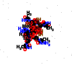 CC[C@H]1O[C@@H](n2cc(C)c(=O)[nH]c2=O)C[C@H]1OP(=O)(S)OC[C@H]1O[C@@H](n2cc(C)c(N)nc2=O)C[C@H]1OP(=O)(S)OC[C@H]1O[C@@H](n2cc(C)c(N)nc2=O)C[C@H]1OP(=O)(S)OC[C@H]1O[C@@H](n2cc(C)c(=O)[nH]c2=O)C[C@H]1OP(=O)(S)OC[C@H]1O[C@@H](n2cc(C)c(=O)[nH]c2=O)C[C@H]1OP(=O)(S)OC[C@H]1O[C@@H](n2cc(C)c(=O)[nH]c2=O)C[C@H]1OP(=O)(S)OC[C@H]1O[C@@H](n2cnc3c(=O)[nH]c(N)nc32)C[C@H]1OP(=O)(S)OC